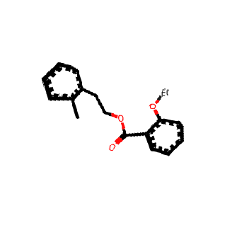 CCOc1ccccc1C(=O)OCCc1ccccc1C